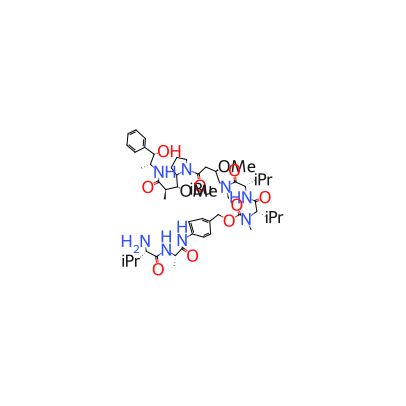 CC[C@H](C)[C@@H]([C@@H](CC(=O)N1CCCC1[C@H](OC)[C@@H](C)C(=O)N[C@H](C)[C@@H](O)c1ccccc1)OC)N(C)C(=O)[C@@H](NC(=O)[C@H](C(C)C)N(C)C(=O)OCc1ccc(NC(=O)[C@H](C)NC(=O)[C@@H](N)C(C)C)cc1)C(C)C